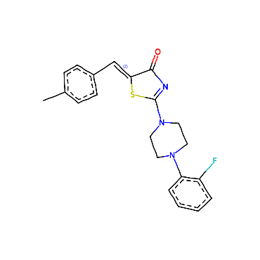 Cc1ccc(/C=C2\SC(N3CCN(c4ccccc4F)CC3)=NC2=O)cc1